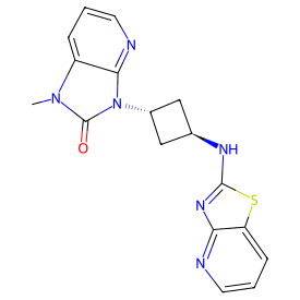 Cn1c(=O)n([C@H]2C[C@H](Nc3nc4ncccc4s3)C2)c2ncccc21